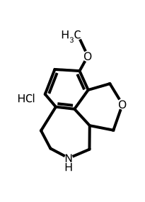 COc1ccc2c3c1COCC3CNCC2.Cl